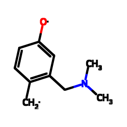 [CH2]c1ccc([O])cc1CN(C)C